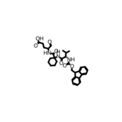 CC(C)[C@H](NC(=O)OCC1c2ccccc2-c2ccccc21)C(=O)NC1(C(=O)NC(C=O)CCC(=O)O)CCCCC1